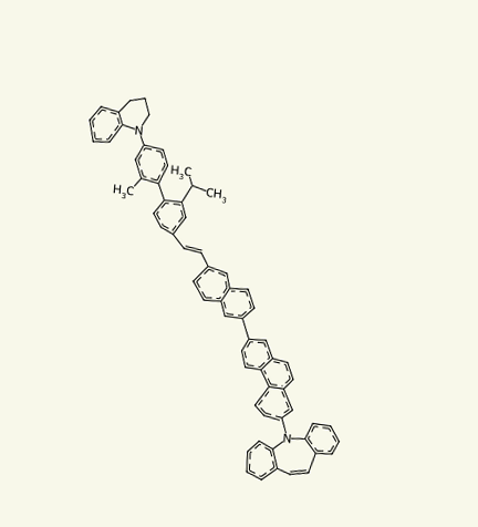 Cc1cc(N2CCCc3ccccc32)ccc1-c1ccc(/C=C/c2ccc3cc(-c4ccc5c(ccc6cc(N7c8ccccc8C=Cc8ccccc87)ccc65)c4)ccc3c2)cc1C(C)C